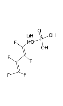 FC(F)=C(F)C(F)=C(F)F.O=P(O)(O)O.[LiH]